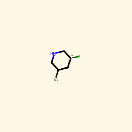 CCC1CNC[C@@H](F)C1